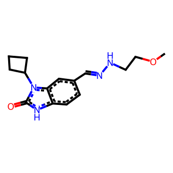 COCCN/N=C/c1ccc2[nH]c(=O)n(C3CCC3)c2c1